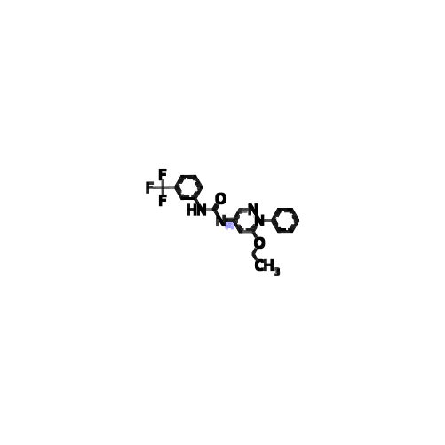 CCOc1c/c(=N/C(=O)Nc2cccc(C(F)(F)F)c2)cnn1-c1ccccc1